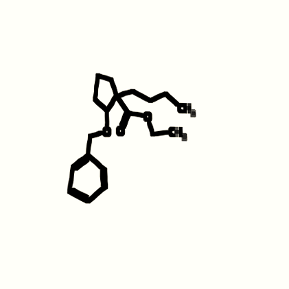 CCCCC1(C(=O)OCC)CCCC1OCc1ccccc1